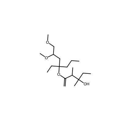 C=C(OC(CC)(CCC)CC(COC)OC)C(C)C(C)(O)CC